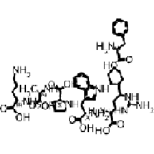 C[C@H](N)C(=O)O.N=C(N)NC(CC[C@H](N)C(=O)O)C1CCCCC1.NCCC[C@H](N)C(=O)O.N[C@@H](Cc1c[nH]c2ccccc12)C(=O)O.N[C@@H](Cc1ccccc1)C(=O)O.O=C(O)[C@@H]1CCCN1